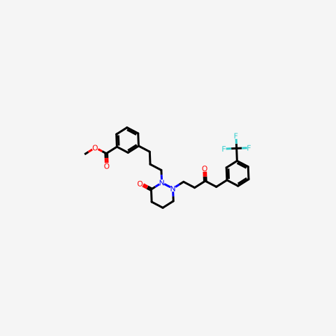 COC(=O)c1cccc(CCCN2C(=O)CCCN2CCC(=O)Cc2cccc(C(F)(F)F)c2)c1